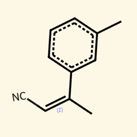 C/C(=C/C#N)c1cccc(C)c1